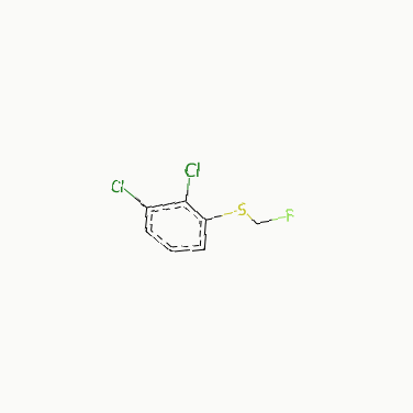 FCSc1cccc(Cl)c1Cl